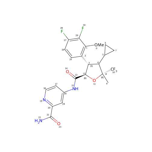 COc1c([C@@H]2C(C3CC3)[C@](C)(C(F)(F)F)O[C@H]2C(=O)Nc2ccnc(C(N)=O)c2)ccc(F)c1F